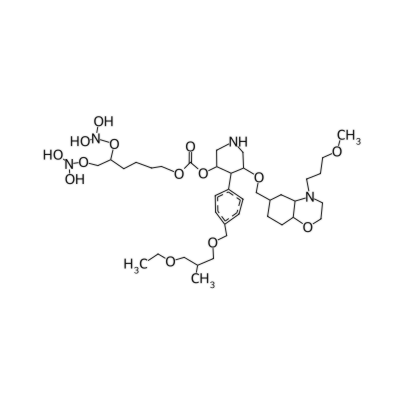 CCOCC(C)COCc1ccc(C2C(OCC3CCC4OCCN(CCCOC)C4C3)CNCC2OC(=O)OCCCCC(CON(O)O)ON(O)O)cc1